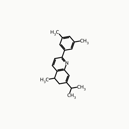 Cc1cc(C)cc(-c2ccc3c(n2)C=C(C(C)C)CC3C)c1